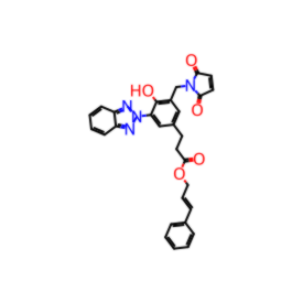 O=C(CCc1cc(CN2C(=O)C=CC2=O)c(O)c(-n2nc3ccccc3n2)c1)OC/C=C/c1ccccc1